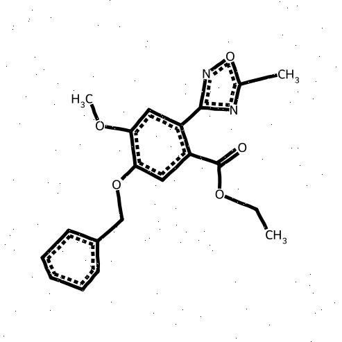 CCOC(=O)c1cc(OCc2ccccc2)c(OC)cc1-c1noc(C)n1